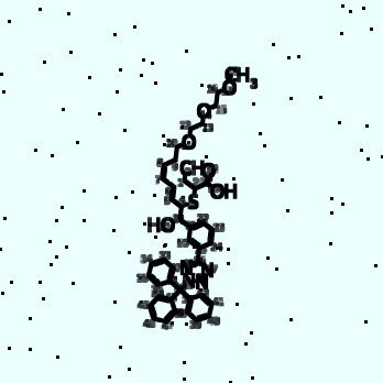 CCC(S[C@H](/C=C/C=C\CCOCCOCCOC)[C@@H](O)c1cccc(-c2nnn(C(c3ccccc3)(c3ccccc3)c3ccccc3)n2)c1)C(=O)O